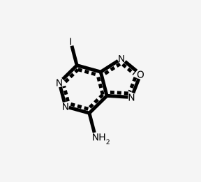 Nc1nnc(I)c2nonc12